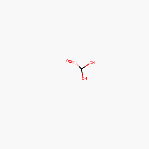 O=BC(O)O